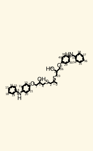 CC(CSCC(O)COc1ccc(Nc2ccccc2)cc1)SCC(O)COc1ccc(Nc2ccccc2)cc1